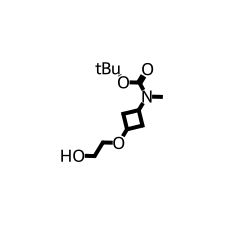 CN(C(=O)OC(C)(C)C)C1CC(OCCO)C1